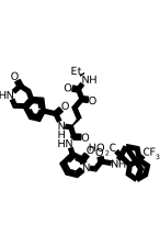 CCNC(=O)C(=O)CC[C@H](NC(=O)c1ccc2c(c1)CC(=O)NC2)C(=O)Nc1cccn(CC(=O)NC2(C(=O)O)C3CC4CCC(C(F)(F)F)(C3)C2C4)c1=O